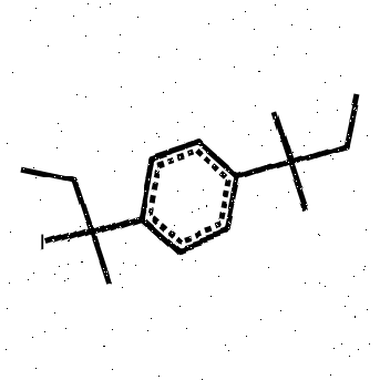 CCC(C)(C)c1ccc(C(C)(I)CC)cc1